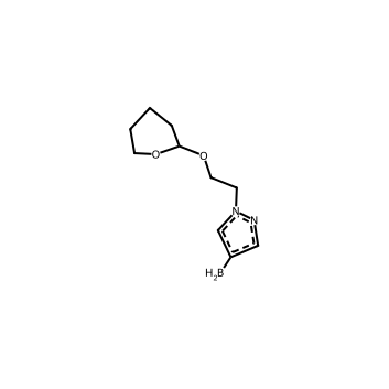 Bc1cnn(CCOC2CCCCO2)c1